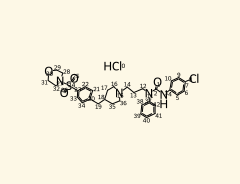 Cl.O=C(Nc1ccc(Cl)cc1)N(CCCN1CCC(Cc2ccc(S(=O)(=O)N3CCOCC3)cc2)CC1)c1ccccc1